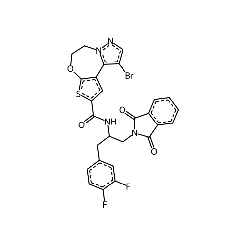 O=C(NC(Cc1ccc(F)c(F)c1)CN1C(=O)c2ccccc2C1=O)c1cc2c(s1)OCCn1ncc(Br)c1-2